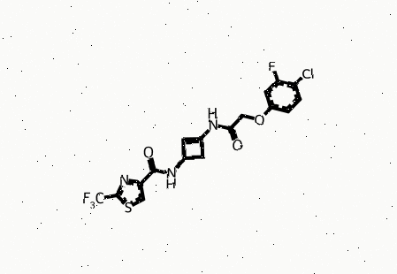 O=C(COc1ccc(Cl)c(F)c1)NC1=CC(NC(=O)c2csc(C(F)(F)F)n2)C1